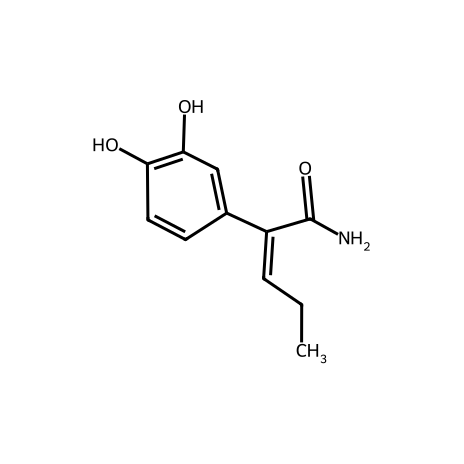 CCC=C(C(N)=O)c1ccc(O)c(O)c1